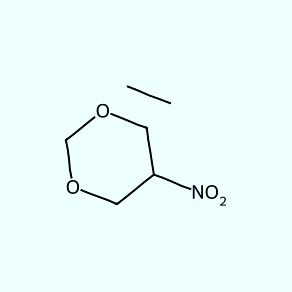 CC.O=[N+]([O-])C1COCOC1